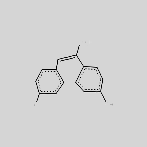 O=C(O)/C(=C/c1ccc(Cl)cc1)c1ccc(O)cc1